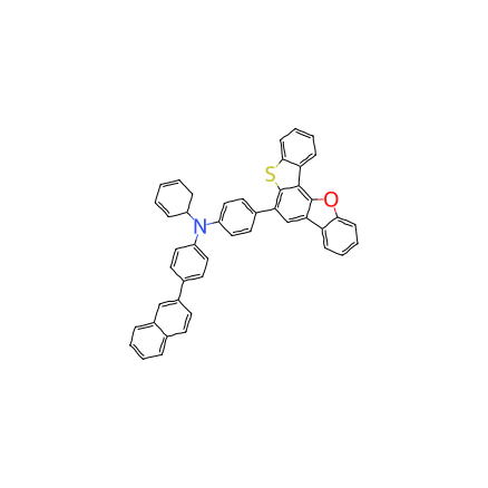 C1=CCC(N(c2ccc(-c3ccc4ccccc4c3)cc2)c2ccc(-c3cc4c5ccccc5oc4c4c3sc3ccccc34)cc2)C=C1